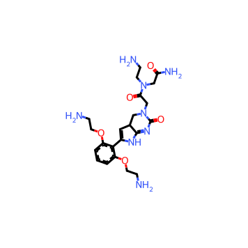 NCCOc1cccc(OCCN)c1C1=CC2CN(CC(=O)N(CCN)CC(N)=O)C(=O)N=C2N1